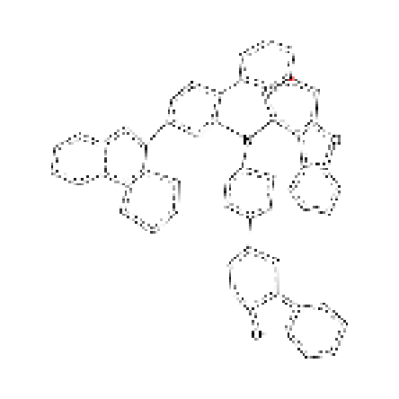 c1ccc(-c2ccc(-c3cc4ccccc4c4ccccc34)cc2N(c2ccc(-c3ccc4oc5ccccc5c4c3)cc2)c2cccc3oc4ccccc4c23)cc1